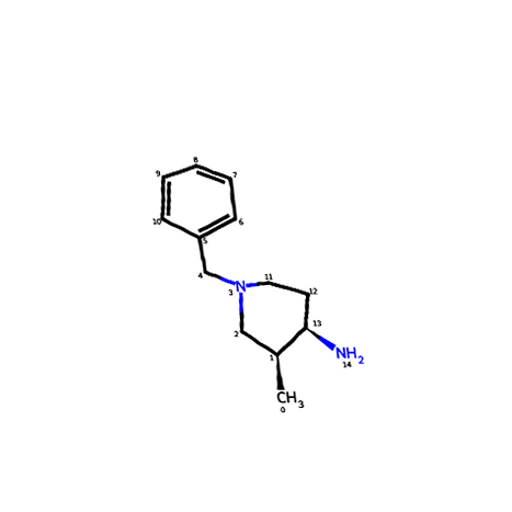 C[C@H]1CN(Cc2ccccc2)CC[C@H]1N